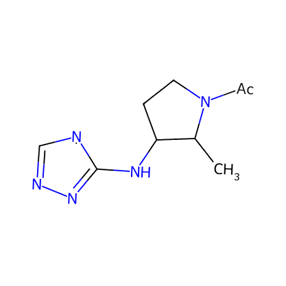 CC(=O)N1CCC(NC2=NN=C[N]2)C1C